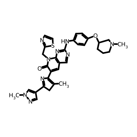 CC1=C(c2cc3cnc(Nc4ccc(OC5CCCN(C)C5)cc4)nc3n(Cc3nccs3)c2=O)N=C(c2cnn(C)c2)C1